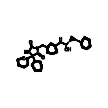 O=C1NC(c2ccccc2)(c2ccccc2)C(=O)N1Cc1cccc(NC(O)[C@@H]2C[C@H]2c2ccccc2)c1